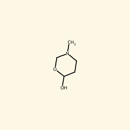 CN1CCC(O)OC1